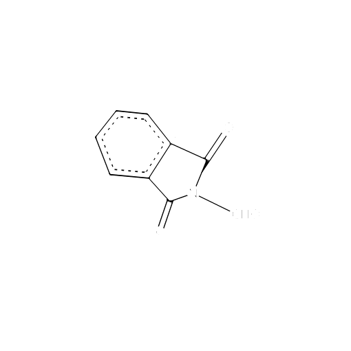 O=[C]N1C(=O)c2ccccc2C1=S